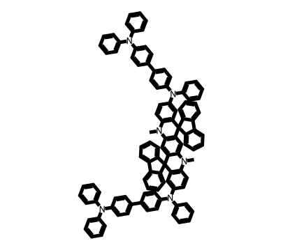 CN1c2ccc(N(c3ccccc3)c3ccc(-c4ccc(N(c5ccccc5)c5ccccc5)cc4)cc3)cc2C2(c3ccccc3-c3ccccc32)c2cc3c(cc21)C1(c2ccccc2-c2ccccc21)c1cc(N(c2ccccc2)c2ccc(-c4ccc(N(c5ccccc5)c5ccccc5)cc4)cc2)ccc1N3C